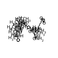 CC[C@H](C)[C@H](NC(=O)[C@@H](NC(=O)[C@@H](NC(=O)OCc1ccc(NC(=O)[C@H](CCCNC(N)=O)NC(=O)[C@@H](NC(=O)CCCCCN2C(=O)C=CC2=O)C(C)C)cc1)C(C)C)C(C)C)[C@@H](CC(=O)N1CCC[C@H]1[C@H](OC)[C@@H](C)C(=O)N[C@H](C)C(O)c1ccccc1)OC